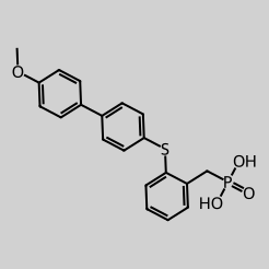 COc1ccc(-c2ccc(Sc3ccccc3CP(=O)(O)O)cc2)cc1